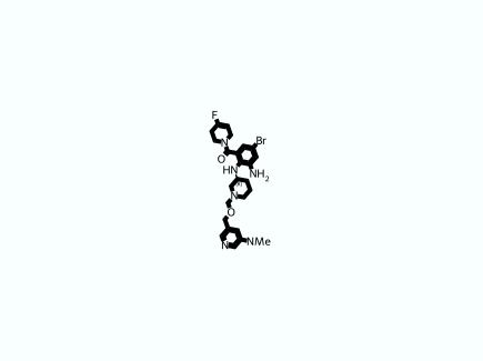 CNc1cncc(COCN2CCC[C@@H](Nc3c(N)cc(Br)cc3C(=O)N3CC=C(F)CC3)C2)c1